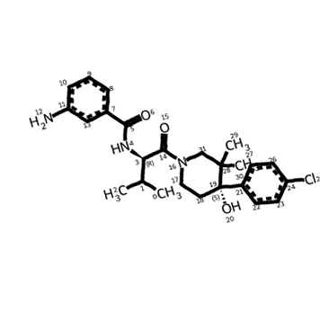 CC(C)[C@@H](NC(=O)c1cccc(N)c1)C(=O)N1CC[C@](O)(c2ccc(Cl)cc2)C(C)(C)C1